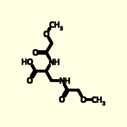 COCC(=O)NCC(NC(=O)COC)C(=O)O